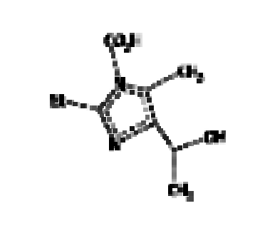 CCc1nc(C(C)O)c(C)n1C(=O)O